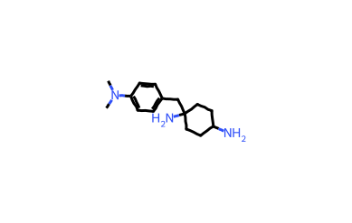 CN(C)c1ccc(CC2(N)CCC(N)CC2)cc1